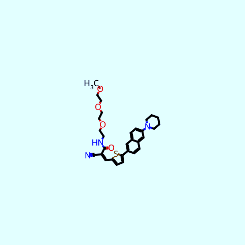 COCCOCCOCCNC(=O)C(C#N)=Cc1ccc(-c2ccc3cc(N4CCCCC4)ccc3c2)s1